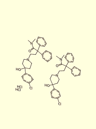 CN(C)C(=O)C(CCN1CCC(O)(c2ccc(Cl)cc2)CC1)(c1ccccc1)c1ccccc1.CN(C)C(=O)C(CCN1CCC(O)(c2ccc(Cl)cc2)CC1)(c1ccccc1)c1ccccc1.Cl.Cl